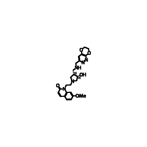 COc1ccc2ccc(=O)n(CCN3C[C@H](CNCc4cc5c(nn4)OCCO5)[C@H](O)C3)c2c1